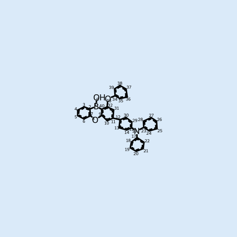 OB1c2ccccc2Oc2cc(-c3ccc(N(c4ccccc4)c4ccccc4)cc3)cc(Oc3ccccc3)c21